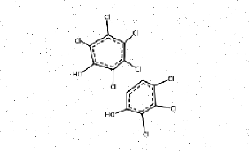 Oc1c(Cl)c(Cl)c(Cl)c(Cl)c1Cl.Oc1ccc(Cl)c(Cl)c1Cl